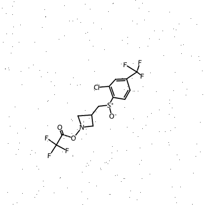 O=C(ON1CC(C[S+]([O-])c2ccc(C(F)(F)F)cc2Cl)C1)C(F)(F)F